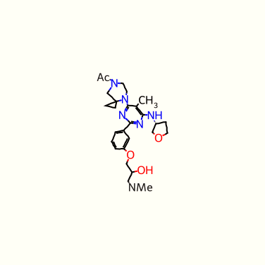 CNCC(O)COc1cccc(-c2nc(N[C@@H]3CCOC3)c(C)c(N3CCN(C(C)=O)CC34CC4)n2)c1